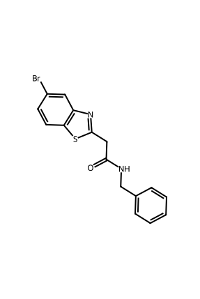 O=C(Cc1nc2cc(Br)ccc2s1)NCc1ccccc1